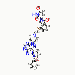 Nc1ncnc2c1c(-c1ccc(Oc3ccccc3)cc1)nn2C1CCN(CCSc2cccc3c2CN(C2CCC(=O)NC2=O)C3=O)CC1